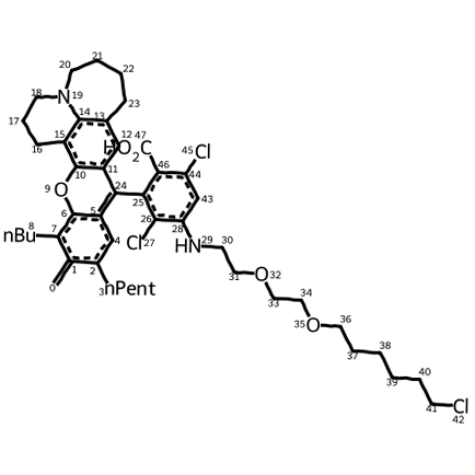 C=c1c(CCCCC)cc2c(c1CCCC)Oc1c(cc3c4c1CCCN4CCCC3)C=2c1c(Cl)c(NCCOCCOCCCCCCCl)cc(Cl)c1C(=O)O